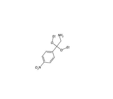 CCOC(CN)(OCC)c1ccc([N+](=O)[O-])cc1